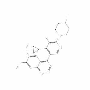 COc1cc2nncc(-c3cnc(N4CCC(O)CC4)c(C)c3C3CC3)c2cc1OC